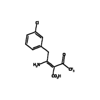 NC(Cc1cccc(Cl)c1)=C(C(=O)O)C(=O)C(F)(F)F